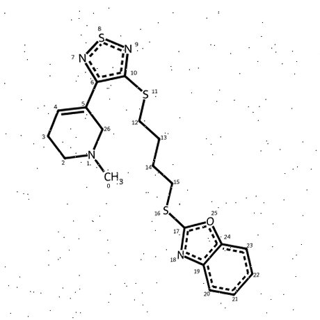 CN1CCC=C(c2nsnc2SCCCCSc2nc3ccccc3o2)C1